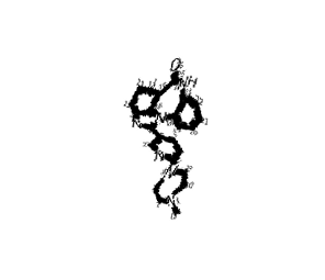 CN1CCN(c2ccc(-c3nc4cccc5c4n3-c3ccccc3NC5=O)cn2)CC1